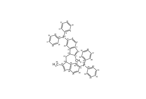 CC1=Cc2ccc(P(c3ccccc3)c3ccccc3)cc2C1CC1C(C)=Cc2ccc(P(c3ccccc3)c3ccccc3)cc21